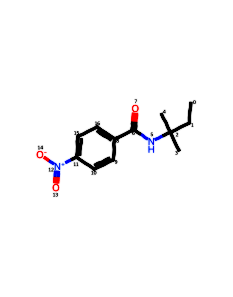 CCC(C)(C)NC(=O)c1ccc([N+](=O)[O-])cc1